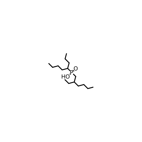 CCCCC(CC)CP(=O)(O)C(CCC)CCCC